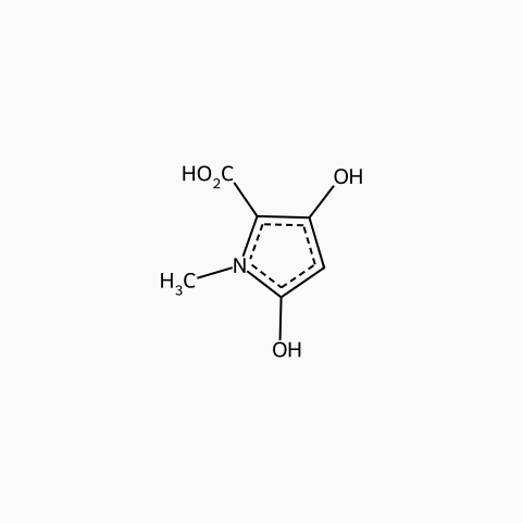 Cn1c(O)cc(O)c1C(=O)O